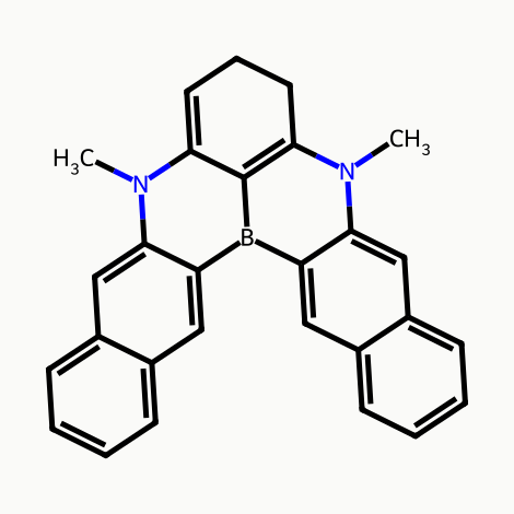 CN1C2=CCCC3=C2B(c2cc4ccccc4cc21)c1cc2ccccc2cc1N3C